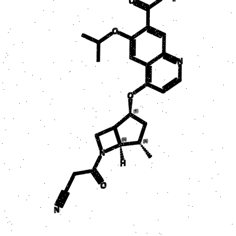 CC(C)Oc1cc2c(O[C@H]3C[C@H](C)[C@@H]4C3CN4C(=O)CC#N)ccnc2cc1C(N)=O